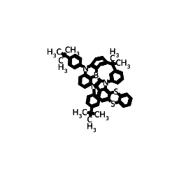 CC(C)(C)c1ccc(N2c3ccc4cc3B3c5c2cccc5N(c2ccc(C(C)(C)C)cc2)c2c3n(c3c5c(ccc23)Sc2ccccc2S5)-c2cccc(c2)C4(C)C)cc1